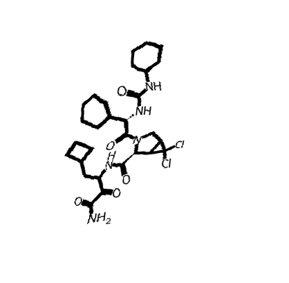 NC(=O)C(=O)C(CC1CCC1)NC(=O)[C@@H]1C2C(CN1C(=O)[C@@H](NC(=O)NC1CCCCC1)C1CCCCC1)C2(Cl)Cl